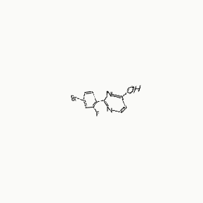 Oc1ccnc(-c2ccc(Br)cc2F)n1